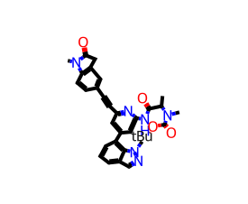 CC(C(=O)Nc1cc(-c2cccc3cnn(C)c23)cc(C#Cc2ccc3c(c2)CC(=O)N3C)n1)N(C)C(=O)OC(C)(C)C